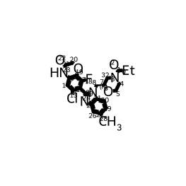 CCC(=O)N1CCO[C@@H](Cn2c(-c3c(Cl)cc4c(c3F)OCC(=O)N4)nc3cc(C)ccc32)C1